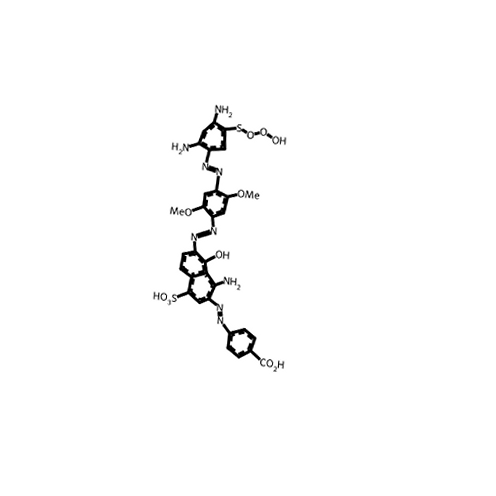 COc1cc(N=Nc2ccc3c(S(=O)(=O)O)cc(N=Nc4ccc(C(=O)O)cc4)c(N)c3c2O)c(OC)cc1N=Nc1cc(SOOO)c(N)cc1N